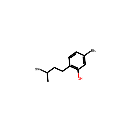 CC(CCc1ccc(C(C)(C)C)cc1O)C(C)(C)C